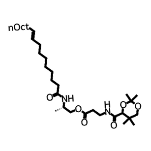 CCCCCCCCC=CCCCCCCCC(=O)N[C@@H](C)COC(=O)CCNC(=O)C1OC(C)(C)OCC1(C)C